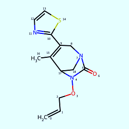 C=CCON1C(=O)N2CC(c3nccs3)=C(C)C1C2